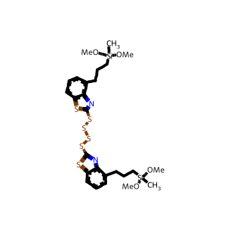 CO[Si](C)(CCCc1cccc2sc(SSSSc3nc4c(CCC[Si](C)(OC)OC)cccc4s3)nc12)OC